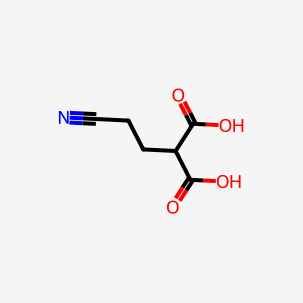 N#CCCC(C(=O)O)C(=O)O